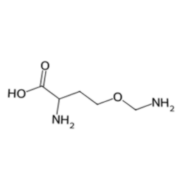 NCOCCC(N)C(=O)O